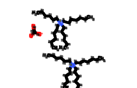 CCCCCCC[N+](CCCCCC)(CCCCCC)CCCCCC.CCCCCCC[N+](CCCCCC)(CCCCCC)CCCCCC.O=C([O-])[O-]